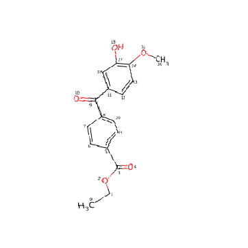 CCOC(=O)c1ccc(C(=O)c2ccc(OC)c(O)c2)cc1